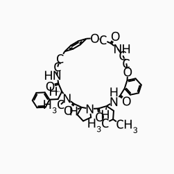 CC(C)C[C@H]1NC(=O)c2ccccc2OCCNC(=O)COc2ccc(cc2)CCNC(=O)[C@H](Cc2ccccc2)N(C)C(=O)[C@H]2CCCN2C1=O